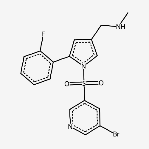 CNCc1cc(-c2ccccc2F)n(S(=O)(=O)c2cncc(Br)c2)c1